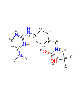 CN(C)c1ccnc(NC2CCC(CN(CC(C)(C)C)C(=O)O)CC2)n1